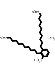 CCCCCCCCCCCCCCCCCCCCc1cccc(S(=O)(=O)O)c1CCCCCCCCCCCCCCCCCCCC.[CaH2]